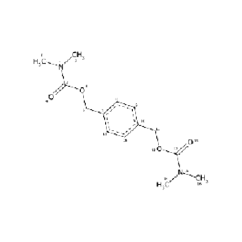 CN(C)C(=O)OCc1ccc(COC(=O)N(C)C)cc1